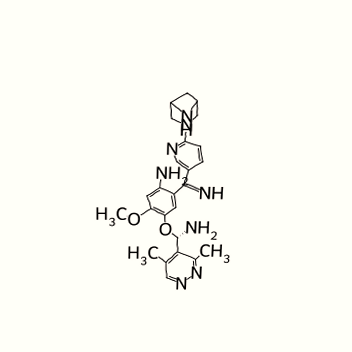 COc1cc(N)c(C(=N)c2ccc(N3CC4CC(C3)N4)nc2)cc1O[C@H](N)c1c(C)cnnc1C